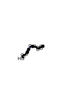 C=C(CO)C(=O)OCCCOc1ccc(-c2ccc(/C=C/C(=O)c3ccc(OCCCOC(=O)C(=C)CC(=O)OC4CCCCC4)cc3)cc2)cc1